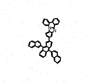 c1ccc2cc(-c3c4ccccc4c(-c4ccc5ccccc5c4)c4cc(-c5ccc6c(c5)nc5c7ccccc7c7ccccc7n65)ccc34)ccc2c1